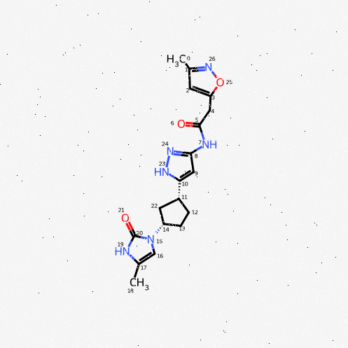 Cc1cc(CC(=O)Nc2cc([C@@H]3CC[C@H](n4cc(C)[nH]c4=O)C3)[nH]n2)on1